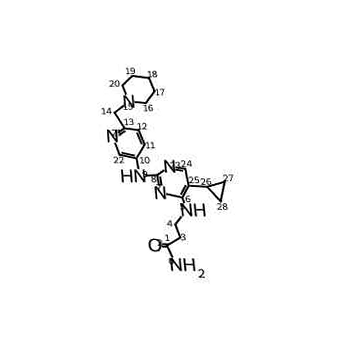 NC(=O)CCNc1nc(Nc2ccc(CN3CCCCC3)nc2)ncc1C1CC1